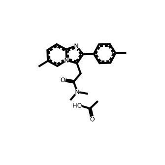 CC(=O)O.Cc1ccc(-c2nc3ccc(C)cn3c2CC(=O)N(C)C)cc1